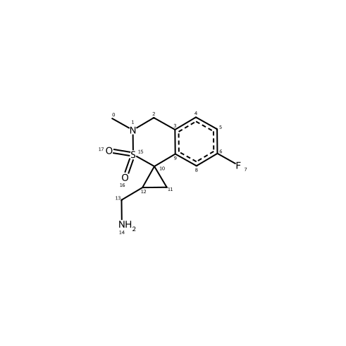 CN1Cc2ccc(F)cc2C2(CC2CN)S1(=O)=O